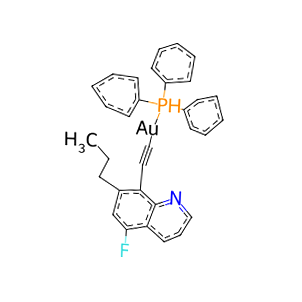 CCCc1cc(F)c2cccnc2c1C#[C][Au][PH](c1ccccc1)(c1ccccc1)c1ccccc1